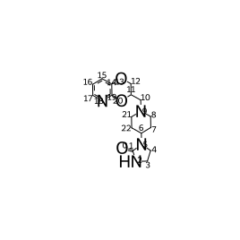 O=C1NCCN1C1CCN(CC2COc3cccnc3O2)CC1